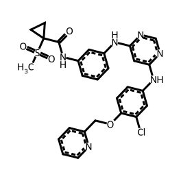 CS(=O)(=O)C1(C(=O)Nc2cccc(Nc3cc(Nc4ccc(OCc5ccccn5)c(Cl)c4)ncn3)c2)CC1